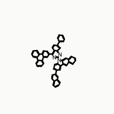 c1ccc(-c2ccc3c(-c4ccc5c6ccccc6c6ccccc6c5c4)nc(-n4c5ccc(-c6ccc7ccccc7c6)cc5c5cc6ccccc6cc54)nc3c2)cc1